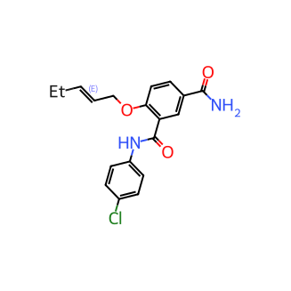 CC/C=C/COc1ccc(C(N)=O)cc1C(=O)Nc1ccc(Cl)cc1